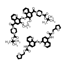 COc1cc(C(=O)N2CCN(C(=O)OC(C)(C)C)CC2)c2cccnc2c1SSc1c(OC)cc(C(=O)N2CCN(C(=O)OC(C)(C)C)CC2)c2cccnc12.O=C(Nc1ccc(SSc2ccc(NC(=O)OCC3CCCO3)c3cccnc23)c2ncccc12)OCC1CCCO1